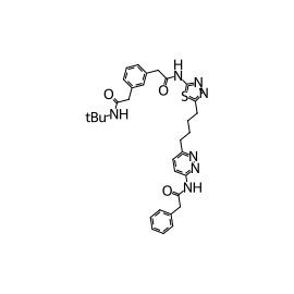 CC(C)(C)NC(=O)Cc1cccc(CC(=O)Nc2nnc(CCCCc3ccc(NC(=O)Cc4ccccc4)nn3)s2)c1